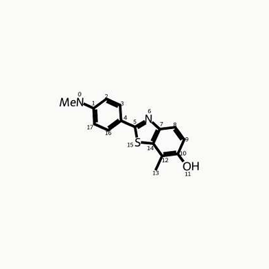 CNc1ccc(-c2nc3ccc(O)c(C)c3s2)cc1